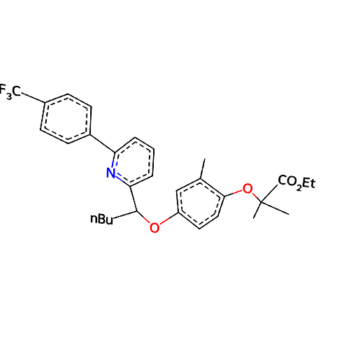 CCCCC(Oc1ccc(OC(C)(C)C(=O)OCC)c(C)c1)c1cccc(-c2ccc(C(F)(F)F)cc2)n1